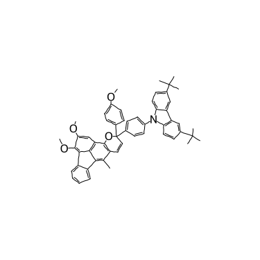 COc1ccc(C2(c3ccc(-n4c5ccc(C(C)(C)C)cc5c5cc(C(C)(C)C)ccc54)cc3)C=Cc3c(C)c4c5c(c(OC)c(OC)cc5c3O2)-c2ccccc2-4)cc1